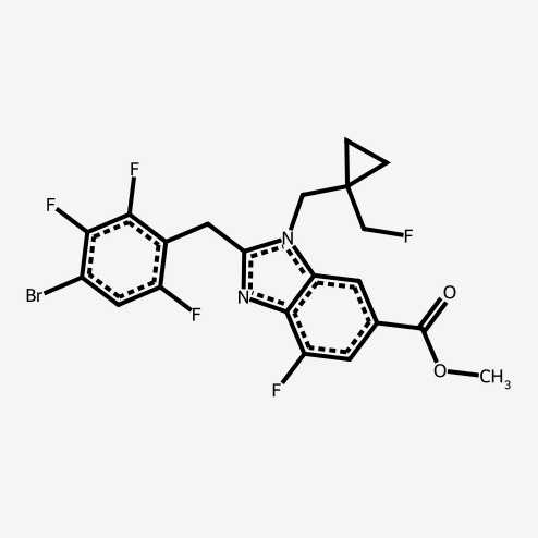 COC(=O)c1cc(F)c2nc(Cc3c(F)cc(Br)c(F)c3F)n(CC3(CF)CC3)c2c1